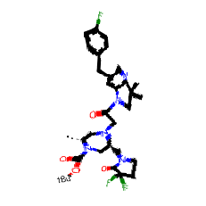 C[C@@H]1CN(CC(=O)N2CC(C)(C)c3ncc(Cc4ccc(F)cc4)cc32)[C@@H](CN2CCC(F)(F)C2=O)CN1C(=O)OC(C)(C)C